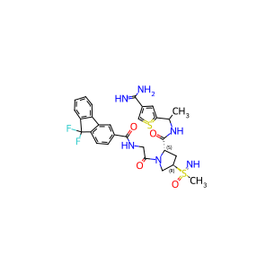 CC(NC(=O)[C@@H]1C[C@@H](S(C)(=N)=O)CN1C(=O)CNC(=O)c1ccc2c(c1)-c1ccccc1C2(F)F)c1cc(C(=N)N)cs1